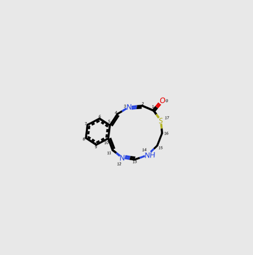 O=C1C=NC=c2ccccc2=CN=CNCCS1